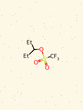 CCC(CC)OS(=O)(=O)C(F)(F)F